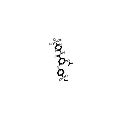 CCS(=O)(=O)c1ccc(Oc2cc(OC(C)C)cc(C(=O)Nc3cnc(P(=O)(O)O)cn3)c2)cc1